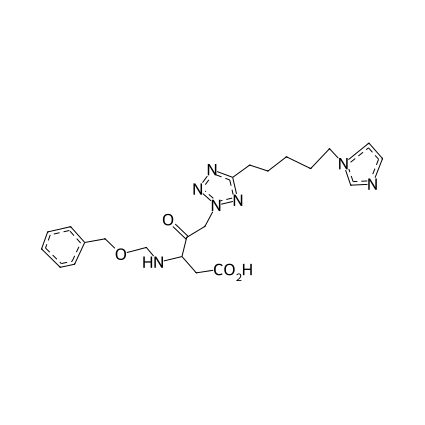 O=C(O)CC(NCOCc1ccccc1)C(=O)Cn1nnc(CCCCCn2ccnc2)n1